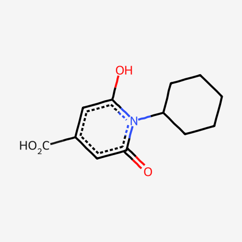 O=C(O)c1cc(O)n(C2CCCCC2)c(=O)c1